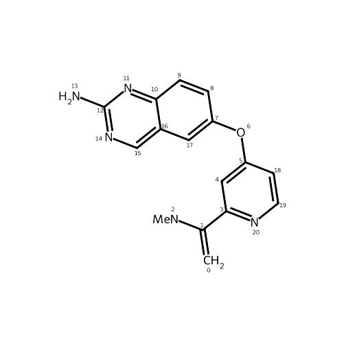 C=C(NC)c1cc(Oc2ccc3nc(N)ncc3c2)ccn1